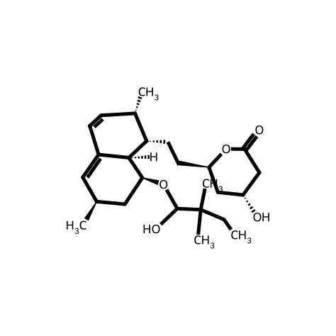 CCC(C)(C)C(O)O[C@H]1C[C@@H](C)C=C2C=C[C@H](C)[C@H](CC[C@@H]3C[C@@H](O)CC(=O)O3)[C@H]21